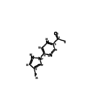 CC(=O)c1cnc(-n2cc(F)cn2)cn1